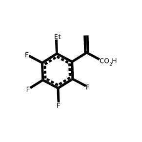 C=C(C(=O)O)c1c(F)c(F)c(F)c(F)c1CC